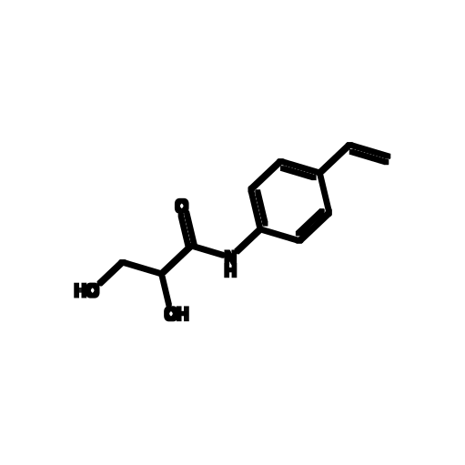 C=Cc1ccc(NC(=O)C(O)CO)cc1